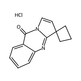 Cl.O=c1c2ccccc2nc2n1C=CC21CCC1